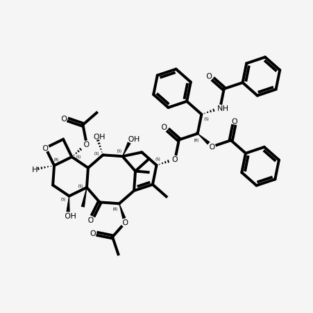 CC(=O)O[C@H]1C(=O)[C@@]2(C)C([C@H](O)[C@]3(O)C[C@H](OC(=O)[C@H](OC(=O)c4ccccc4)[C@@H](NC(=O)c4ccccc4)c4ccccc4)C(C)=C1C3(C)C)[C@]1(OC(C)=O)CO[C@@H]1C[C@@H]2O